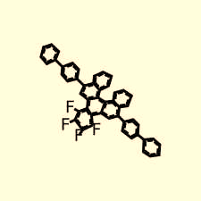 Fc1c(F)c(F)c2c3cc(-c4ccc(-c5ccccc5)cc4)c4ccccc4c3c3c4ccccc4c(-c4ccc(-c5ccccc5)cc4)cc3c2c1F